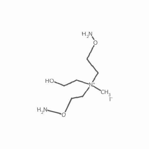 C[N+](CCO)(CCON)CCON.[I-]